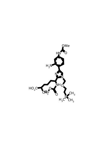 COC(=O)Nc1ccc(-c2cn(COCC[Si](C)(C)C)c(C(CCCC(C)C(=O)O)NC(=O)OC(C)(C)C)n2)c(N)c1